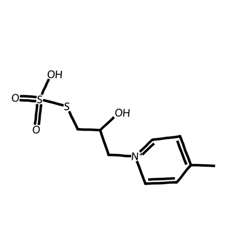 Cc1cc[n+](CC(O)CSS(=O)(=O)O)cc1